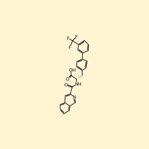 O=C(N[C@@H](Cc1ccc(-c2cccc(C(F)(F)F)c2)cc1)C(=O)O)c1cc2ccccc2cn1